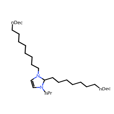 CCCCCCCCCCCCCCCCCCN1C=CN(CCC)C1CCCCCCCCCCCCCCCCC